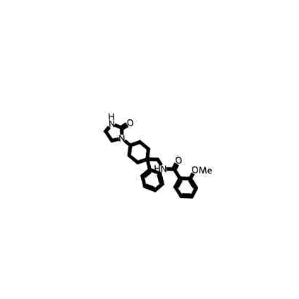 COc1ccccc1C(=O)NCC1(c2ccccc2)CCC(N2CCNC2=O)CC1